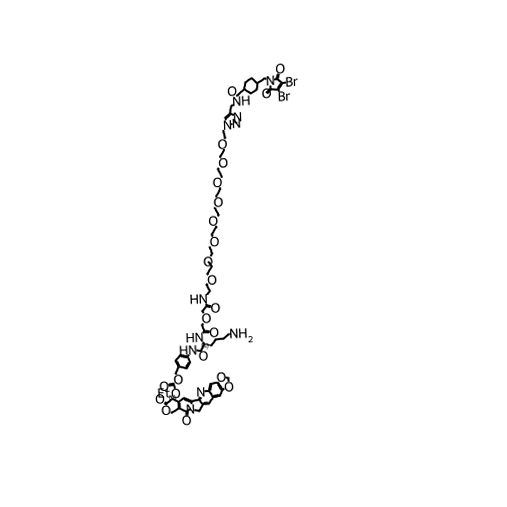 CC[C@@]1(OC(=O)OCc2ccc(NC(=O)[C@H](CCCCN)NC(=O)COCC(=O)NCCOCCOCCOCCOCCOCCOCCOCCOCCn3cc(CNC(=O)C4CCC(CN5C(=O)C(Br)=C(Br)C5=O)CC4)nn3)cc2)C(=O)OCc2c1cc1n(c2=O)Cc2cc3cc4c(cc3nc2-1)OCO4